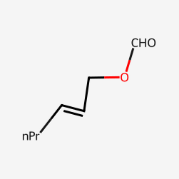 CCCC=CCOC=O